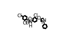 O=S(=O)(Nc1ccc(Oc2cnn(-c3ccccc3)c2)c(Cl)c1)c1ccc(Cl)cc1Cl